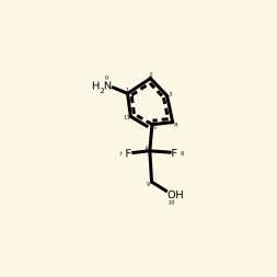 Nc1cccc(C(F)(F)CO)c1